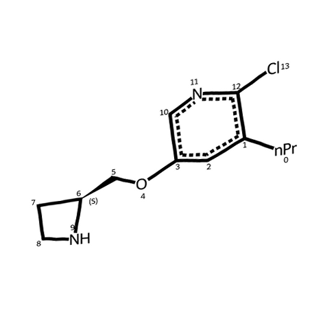 CCCc1cc(OC[C@@H]2CCN2)cnc1Cl